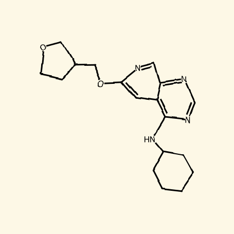 c1nc(NC2CCCCC2)c2cc(OCC3CCOC3)ncc2n1